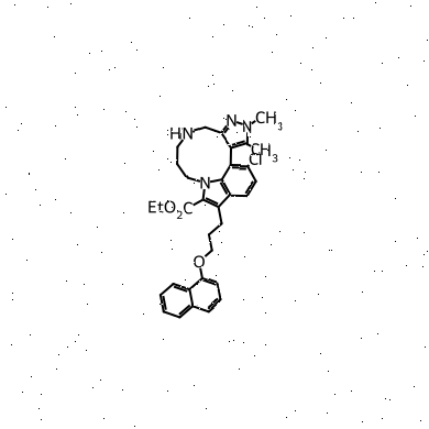 CCOC(=O)c1c(CCCOc2cccc3ccccc23)c2ccc(Cl)c3c2n1CCCNCc1nn(C)c(C)c1-3